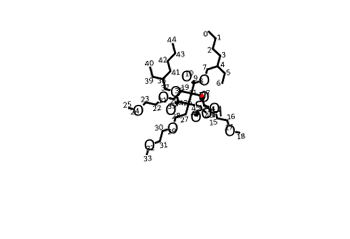 CCCCC(CC)COC(=O)C(CCOCCOC)(CCOCCOC)C(CCOCCOC)(C(=O)OCC(CC)CCCC)S(=O)(=O)O